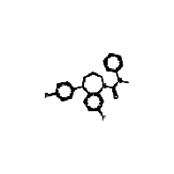 CN(C(=O)N1CCCC(c2ccc(F)cc2)c2ccc(F)cc21)c1ccccc1